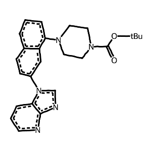 CC(C)(C)OC(=O)N1CCN(c2cccc3ccc(-n4cnc5ncccc54)cc23)CC1